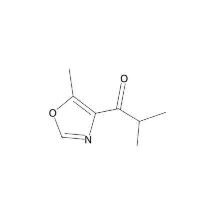 Cc1ocnc1C(=O)C(C)C